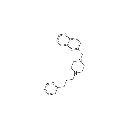 c1ccc(CCCN2CCN(Cc3ccc4ccccc4c3)CC2)cc1